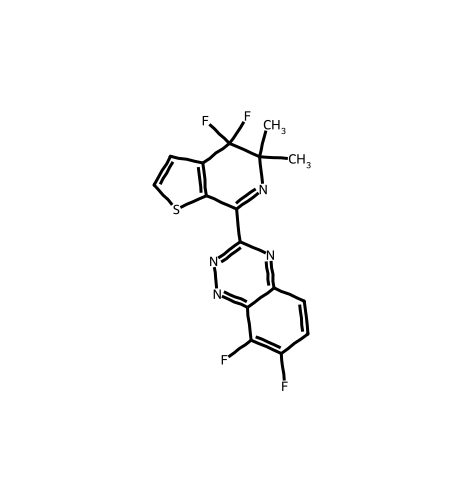 CC1(C)N=C(c2nnc3c(F)c(F)ccc3n2)c2sccc2C1(F)F